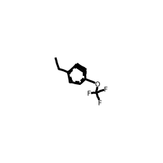 CCc1c#cc(OC(F)(F)F)cc1